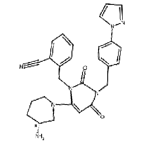 N#Cc1ccccc1Cn1c(N2CCC[C@@H](N)C2)cc(=O)n(Cc2ccc(-n3cccn3)cc2)c1=O